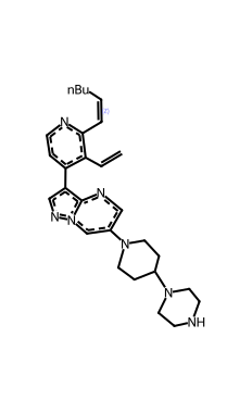 C=Cc1c(-c2cnn3cc(N4CCC(N5CCNCC5)CC4)cnc23)ccnc1/C=C\CCCC